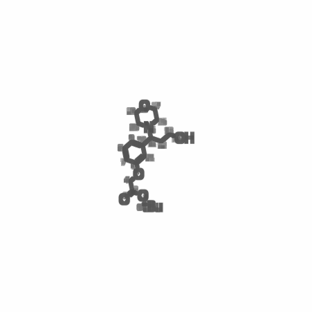 CC(C)(C)OC(=O)COc1cccc(C(CCO)N2CCOCC2)c1